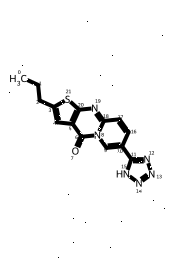 CCCc1cc2c(=O)n3cc(-c4nnn[nH]4)ccc3nc2s1